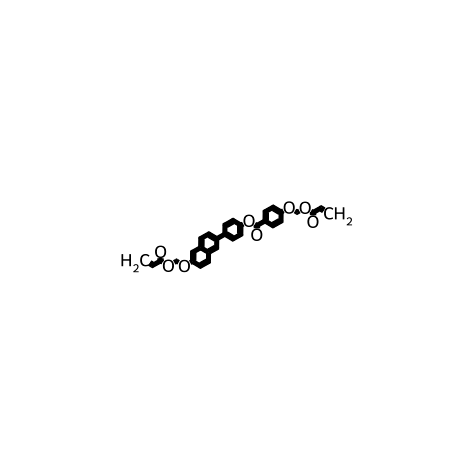 C=CC(=O)OCOc1ccc(C(=O)Oc2ccc(-c3ccc4cc(OCOC(=O)C=C)ccc4c3)cc2)cc1